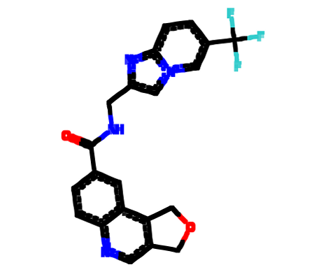 O=C(NCc1cn2cc(C(F)(F)F)ccc2n1)c1ccc2ncc3c(c2c1)COC3